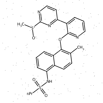 CCCS(=O)(=O)Nc1cccc2c(Oc3ncccc3-c3ccnc([S+](C)[O-])n3)c(C)ccc12